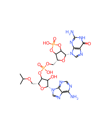 CC(C)OC[C@H]1O[C@@H](n2cnc3c(N)ncnc32)C(O)C1OP(=O)(O)OC[C@H]1O[C@@H](n2cnc3c(=O)[nH]c(N)nc32)C2OP(=O)(O)OC21